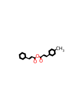 Cc1ccc(C=CC(=O)OC(=O)C=Cc2ccccc2)cc1